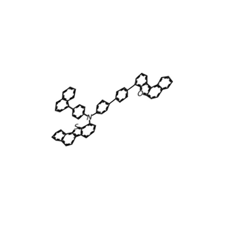 c1ccc2c(-c3ccc(N(c4ccc(-c5ccc(-c6cccc7c6oc6ccc8ccccc8c67)cc5)cc4)c4cccc5c4sc4c6ccccc6ccc54)cc3)cccc2c1